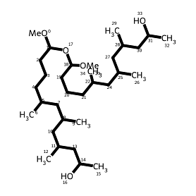 COC(CCCC(C)CC(C)CC(C)CC(C)O)OC(CCCC(C)CC(C)CC(C)CC(C)O)OC